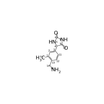 Cc1cc(C2NC(=O)NC2=O)ccc1CN